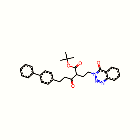 CC(C)(C)OC(=O)C(CCn1nnc2ccccc2c1=O)C(=O)CCc1ccc(-c2ccccc2)cc1